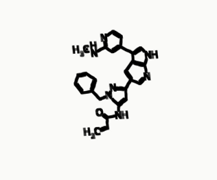 C=CC(=O)Nc1cc(-c2cnc3[nH]cc(-c4ccnc(NC)c4)c3c2)nn1Cc1ccccc1